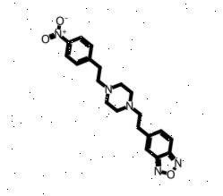 O=[N+]([O-])c1ccc(CCN2CCN(CCc3ccc4nonc4c3)CC2)cc1